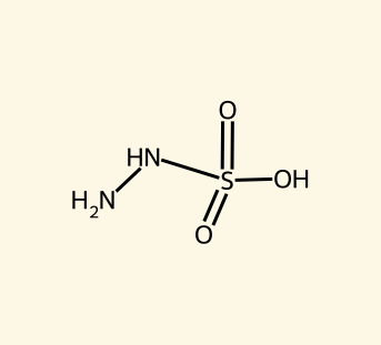 NNS(=O)(=O)O